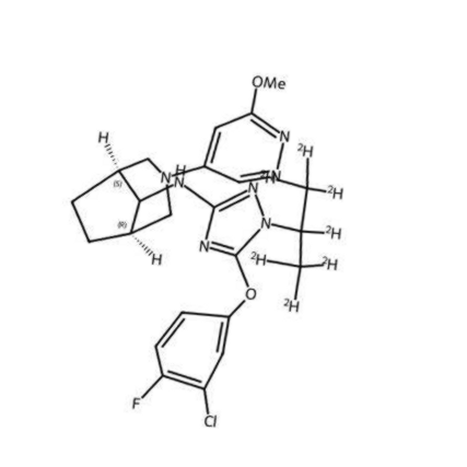 [2H]C([2H])([2H])C([2H])(n1nc(NC2[C@@H]3CC[C@H]2CN(c2cnnc(OC)c2)C3)nc1Oc1ccc(F)c(Cl)c1)C([2H])([2H])[2H]